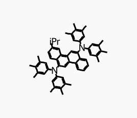 Cc1cc(N(c2cc(C)c(C)c(C)c2)c2cc3c4cc(C(C)C)ccc4c(N(c4cc(C)c(C)c(C)c4)c4cc(C)c(C)c(C)c4)cc3c3ccccc23)cc(C)c1C